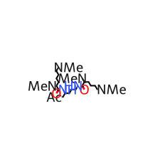 CNCCCCC(NC)C(=O)NCCCC(CC(C)=O)NC(=O)C(CCCCNC)NC